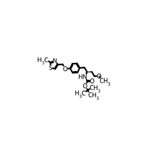 COCC[C@H](Cc1ccc(OCc2csc(C)n2)cc1)NC(=O)OC(C)(C)C